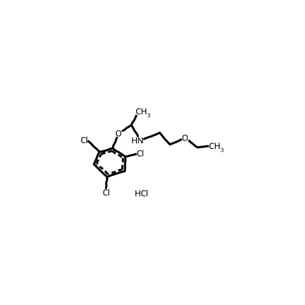 CCOCCNC(C)Oc1c(Cl)cc(Cl)cc1Cl.Cl